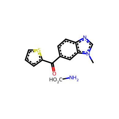 Cn1cnc2ccc(C(=O)c3cccs3)cc21.NC(=O)O